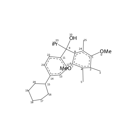 COc1c(C)c(C)c(OC)c(C(O)(c2ccc(C3CCCCC3)cc2)C(C)C)c1C